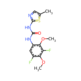 COc1c(F)cc(NC(=O)Nc2ncc(C)s2)c(OC)c1F